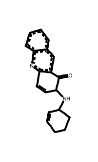 O=C1c2cc3ccccc3nc2C=CC1NC1C=CCCC1